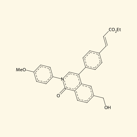 CCOC(=O)/C=C/c1ccc(-c2cn(-c3ccc(OC)cc3)c(=O)c3ccc(CO)cc23)cc1